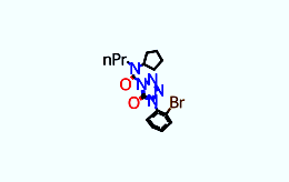 CCCN(C(=O)n1nnn(-c2ccccc2Br)c1=O)C1CCCC1